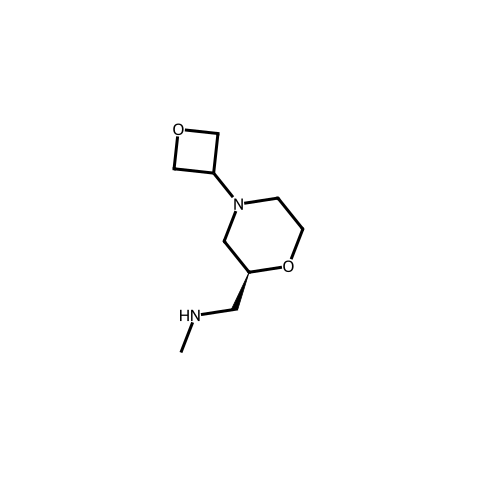 CNC[C@H]1CN(C2COC2)CCO1